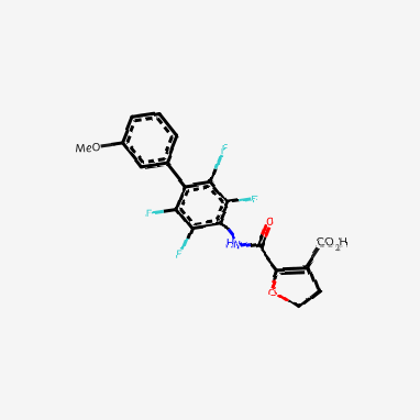 COc1cccc(-c2c(F)c(F)c(NC(=O)C3=C(C(=O)O)CCO3)c(F)c2F)c1